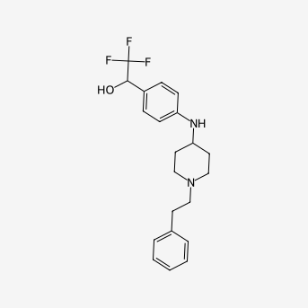 OC(c1ccc(NC2CCN(CCc3ccccc3)CC2)cc1)C(F)(F)F